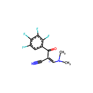 CN(C)/C=C(/C#N)C(=O)c1cc(F)c(F)c(F)c1F